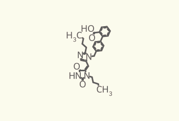 CCCCc1ncc(/C=C2\C(=O)NC(=O)N2CCCC)n1Cc1ccc(-c2ccccc2C(=O)O)cc1